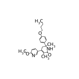 CCCCOc1ccc(C2(C)CC(c3ccc(OC)nc3)=C(C)C(=O)N2)cc1